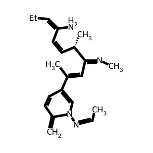 C=C1C=CC(/C(C)=C/C(=N\C)[C@@H](C)/C=C\C(N)=C/CC)=CN1/N=C\C